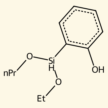 CCCO[SiH](OCC)c1ccccc1O